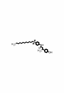 CCCCCCCCCCCCS(=O)(=O)c1ccc(NC(=O)/C=C(\C)c2ccc(O)cc2)cc1